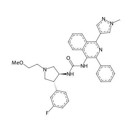 COCCN1C[C@@H](NC(=O)Nc2c(-c3ccccc3)nc(-c3cnn(C)c3)c3ccccc23)[C@H](c2cccc(F)c2)C1